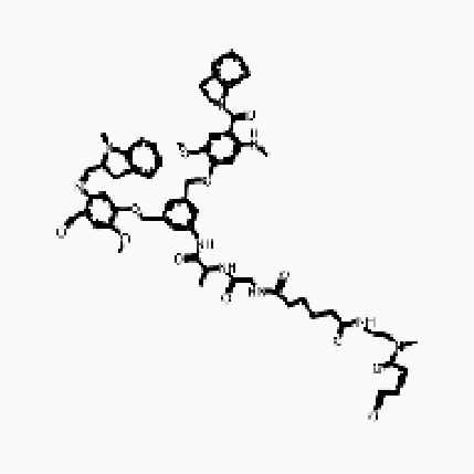 CNc1cc(OCc2cc(COc3cc(/N=C\C4Cc5ccccc5N4C)c(C=O)cc3OC)cc(NC(=O)C(C)NC(=O)CNC(=O)CCCCC(=O)NCCN(C)C(=O)/C=C\C=O)c2)c(OC)cc1C(=O)N1CCc2ccccc21